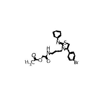 CC(=O)OCC(=O)NCCCn1c(-c2ccc(Br)cc2)csc1=Nc1ccccc1